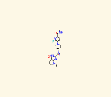 CCN1CCCc2c1nc(C13CC(C1)N(C1CCN(c4ccc(C(=O)NC)nc4F)CC1)C3)[nH]c2=O